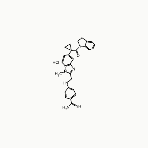 Cl.Cn1c(CNc2ccc(C(=N)N)cc2)nc2cc(C3(C(=O)N4CCc5ccccc54)CC3)ccc21